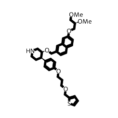 COC[C@@H](COc1ccc2ccc(CO[C@H]3CNCC[C@@H]3c3ccc(OCCCOCc4cccs4)cc3)cc2c1)OC